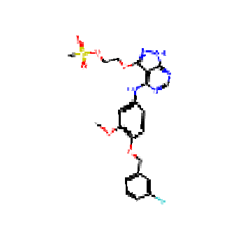 COc1cc(Nc2ncnc3[nH]nc(OCCOS(C)(=O)=O)c23)ccc1OCc1cccc(F)c1